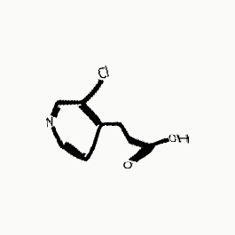 O=C(O)Cc1ccncc1Cl